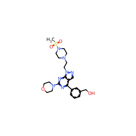 CS(=O)(=O)N1CCN(CCn2ncc3c(-c4cccc(CO)c4)nc(N4CCOCC4)nc32)CC1